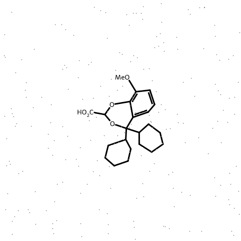 COc1cccc2c1OC(C(=O)O)OC2(C1CCCCC1)C1CCCCC1